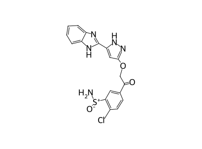 N[S+]([O-])c1cc(C(=O)COc2cc(-c3nc4ccccc4[nH]3)[nH]n2)ccc1Cl